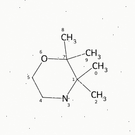 CC1(C)[N]CCOC1(C)C